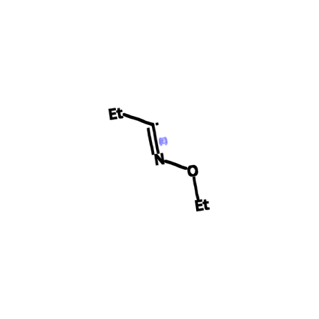 CC/[C]=N/OCC